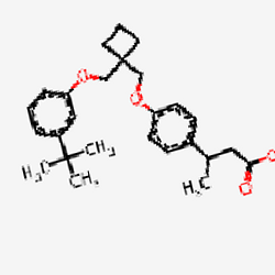 CC(CC(=O)O)c1ccc(OCC2(COc3cccc(C(C)(C)C)c3)CCC2)cc1